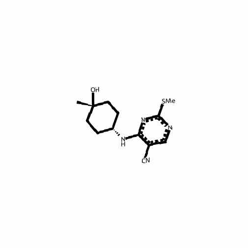 CSc1ncc(C#N)c(N[C@H]2CC[C@@](C)(O)CC2)n1